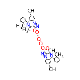 C#Cc1ccc2c(c1)C(c1ccccc1C)=NC(C)c1c(OOCCOCOCOC(=O)c3ncn4c3C(C)N=C(c3ccccc3C)c3cc(C#C)ccc3-4)ncn1-2